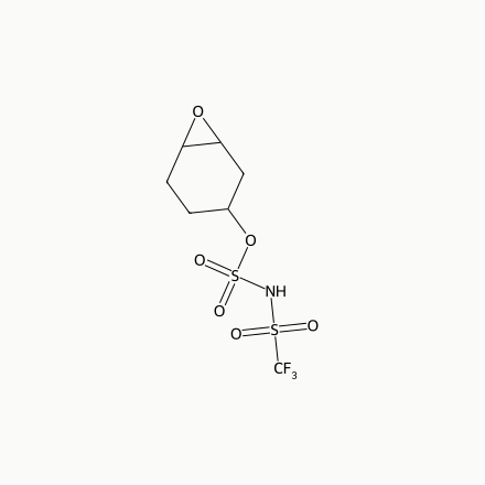 O=S(=O)(NS(=O)(=O)C(F)(F)F)OC1CCC2OC2C1